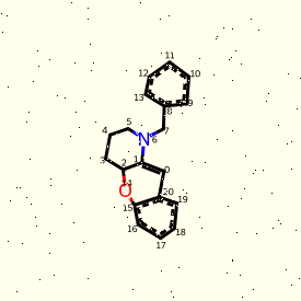 C1=C2C(CCCN2Cc2ccccc2)Oc2ccccc21